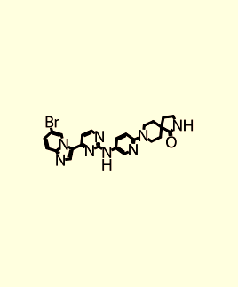 O=C1NCCC12CCN(c1ccc(Nc3nccc(-c4cnc5ccc(Br)cn45)n3)cn1)CC2